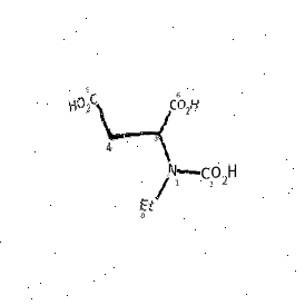 CCN(C(=O)O)C(CC(=O)O)C(=O)O